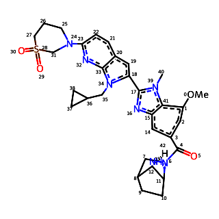 COc1cc(C(=O)N2CC3CCC2[C@@H]3N)cc2nc(-c3cc4ccc(N5CCCS(=O)(=O)C5)nc4n3CC3CC3)n(C)c12